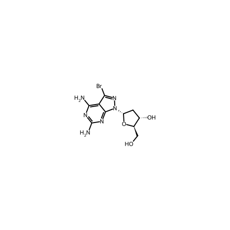 Nc1nc(N)c2c(Br)nn([C@@H]3C[C@H](O)[C@@H](CO)O3)c2n1